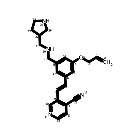 C=CCOc1cc(/C=C/c2cnccc2C#N)cc(CNCC2CCNC2)c1